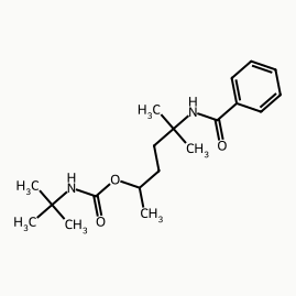 CC(CCC(C)(C)NC(=O)c1ccccc1)OC(=O)NC(C)(C)C